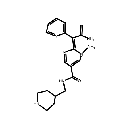 C=C(N)/C(=C1/N=CC(C(=O)NCC2CCNCC2)=CN1N)c1ccccn1